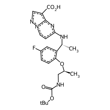 C[C@@H](CNC(=O)OC(C)(C)C)Oc1ccc(F)cc1[C@@H](C)Nc1ccn2ncc(C(=O)O)c2n1